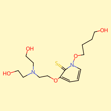 OCCCCOn1cccc(OCCN(CCO)CCO)c1=S